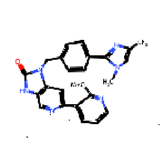 COc1ncccc1-c1cc2c(cn1)[nH]c(=O)n2Cc1ccc(-c2nc(C(F)(F)F)cn2C)cc1